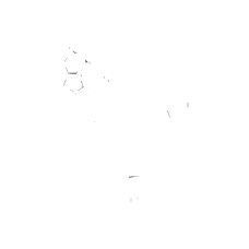 Cc1ncnn2c([C@]3(C#N)O[C@H](COP(=O)(OCOC(=O)OC(C)C)OCOC(=O)OC(C)C)[C@@H](O)[C@@]3(C)F)ccc12